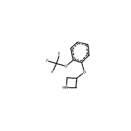 FC(F)(F)Oc1ccccc1OC1CNC1